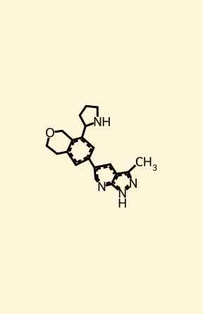 Cc1n[nH]c2ncc(-c3cc4c(c(C5CCCN5)c3)COCC4)cc12